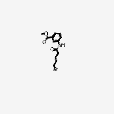 COC(=O)c1cccc(NC(=O)CCCCBr)c1